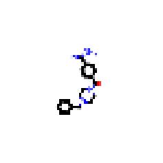 N=C(N)c1ccc(C(=O)N2CCN(Cc3ccccc3)CC2)cc1